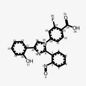 O=Nc1ccccc1-c1nc(-c2ccccc2O)cn1-c1ccc(C(=O)O)c(F)c1